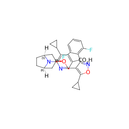 O=C(O)c1cnc(N2[C@@H]3CC[C@H]2C[C@@H](OCc2c(-c4c(F)cccc4F)noc2C2CC2)C3)c(C2CC2)c1